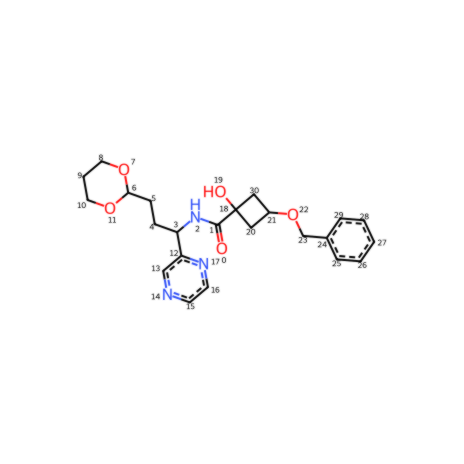 O=C(NC(CCC1OCCCO1)c1cnccn1)C1(O)CC(OCc2ccccc2)C1